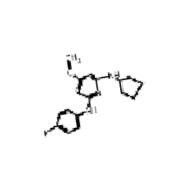 COc1cc(NC2CCCC2)nc(Nc2ccc(F)cc2)n1